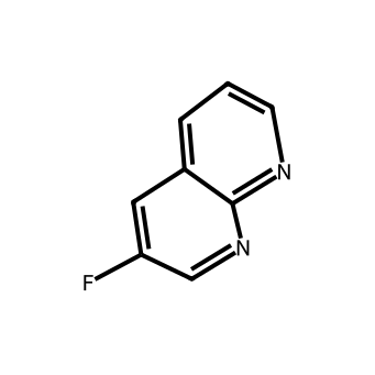 Fc1cnc2ncccc2c1